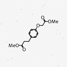 COC(=O)CCc1ccc(OCC(=O)OC)cc1